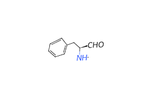 [NH][C@H](C=O)Cc1ccccc1